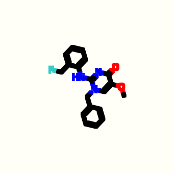 COc1cn(Cc2ccccc2)c(Nc2ccccc2CF)nc1=O